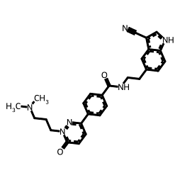 CN(C)CCCn1nc(-c2ccc(C(=O)NCCc3ccc4[nH]cc(C#N)c4c3)cc2)ccc1=O